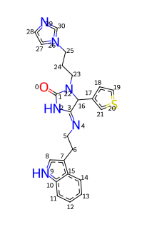 O=C1NC(=NCCc2c[nH]c3ccccc23)C(c2ccsc2)N1CCCn1ccnc1